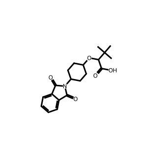 CC(C)(C)C(OC1CCC(N2C(=O)c3ccccc3C2=O)CC1)C(=O)O